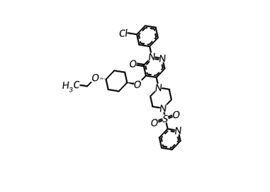 CCO[C@H]1CC[C@H](Oc2c(N3CCN(S(=O)(=O)c4ccccn4)CC3)cnn(-c3cccc(Cl)c3)c2=O)CC1